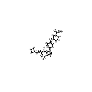 Cn1nnc(-c2ccc(O[C@H]3CCC[C@H](C(=O)O)C3)cn2)c1NC(=O)OCC1CCC1